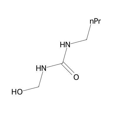 CCCCNC(=O)NCO